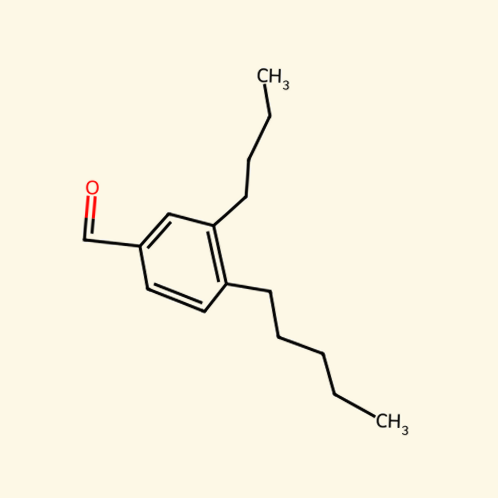 CCCCCc1ccc(C=O)cc1CCCC